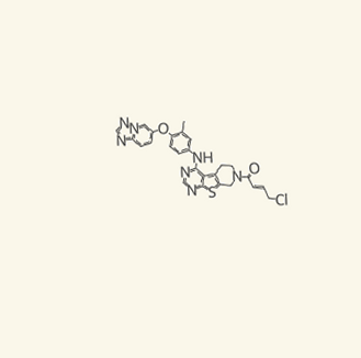 Cc1cc(Nc2ncnc3sc4c(c23)CCN(C(=O)/C=C/CCl)C4)ccc1Oc1ccc2ncnn2c1